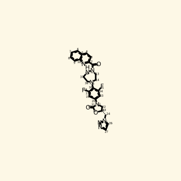 O=C(c1ccc2ccccc2n1)N1CCN(c2c(F)cc(N3C[C@H](Cn4ccnn4)OC3=O)cc2F)CCN1